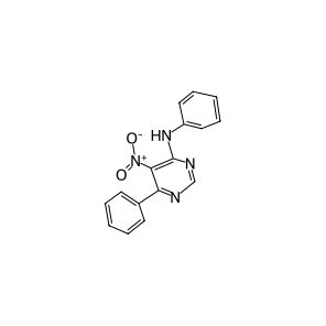 O=[N+]([O-])c1c(Nc2ccccc2)ncnc1-c1ccccc1